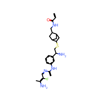 C=CC(=O)NCC1CC2CC1CC2SCC(N)c1cccc(NC(=C)/N=C\C(F)=C(/C)N)c1